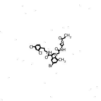 C=CC(=O)N1CC(NC(=O)Cn2cc(C(=O)NCCc3ccc(Cl)cc3Cl)c3cc(Br)cc(C)c32)C1